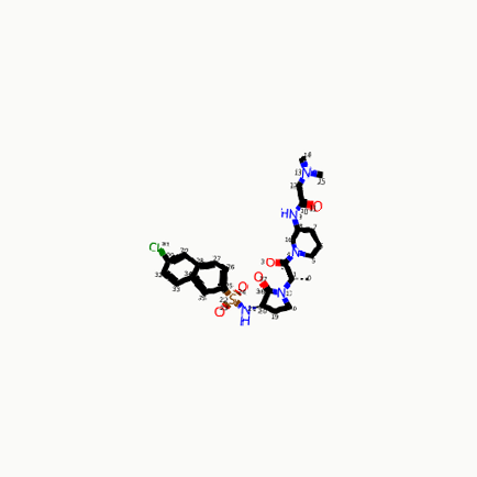 C[C@@H](C(=O)N1CCCC(NC(=O)CN(C)C)C1)N1CC[C@H](NS(=O)(=O)c2ccc3cc(Cl)ccc3c2)C1=O